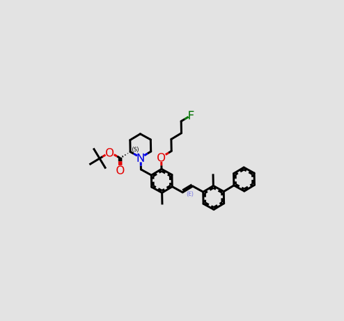 Cc1cc(CN2CCCC[C@H]2C(=O)OC(C)(C)C)c(OCCCCF)cc1/C=C/c1cccc(-c2ccccc2)c1C